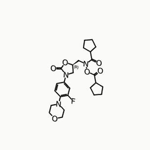 O=C(ON(C[C@H]1CN(c2ccc(N3CCOCC3)c(F)c2)C(=O)O1)C(=O)C1CCCC1)C1CCCC1